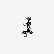 CNCCc1cnc(N2CCN(c3cc(-c4ccc(F)c(Cl)c4)nc(N4CCC[C@H]4C)n3)[C@H](C)C2)c(Cl)c1